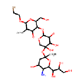 CC(=O)NC1C(OCCS)OC(CO)C(OC2OCC(O)(OC3(C(=O)O)CC(O)C(N)C(C(O)C(O)CO)O3)C(O)C2O)C1O